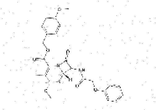 COc1ccc(COC(=O)C2=C(C)[C@@H](OC)S[C@H]3C(NC(=O)COc4ccccc4)C(=O)N23)cc1